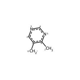 [CH2]c1cncnc1C